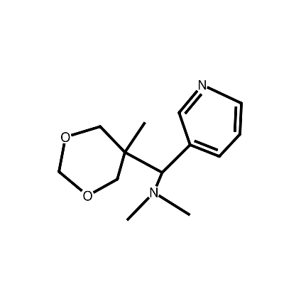 CN(C)C(c1cccnc1)C1(C)COCOC1